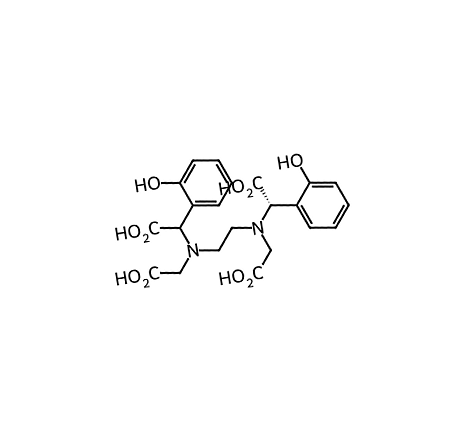 O=C(O)CN(CCN(CC(=O)O)[C@H](C(=O)O)c1ccccc1O)C(C(=O)O)c1ccccc1O